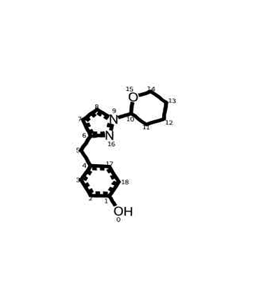 Oc1ccc(Cc2ccn(C3CCCCO3)n2)cc1